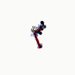 CO[C@H]([C@@H](C)C(=O)N[C@@H](Cc1ccccc1)c1nccs1)[C@@H]1CCCN1C(=O)C[C@@H](OC)[C@H](C1CCCC1)N(C)C(=O)[C@@H](NC(=O)C(C)(C)NC(=O)CCOCCOCCOCCN1C(=O)C=CC1=O)C(C)C